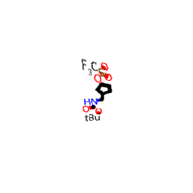 CC(C)(C)OC(=O)NCC1CC=C(OS(=O)(=O)C(F)(F)F)C1